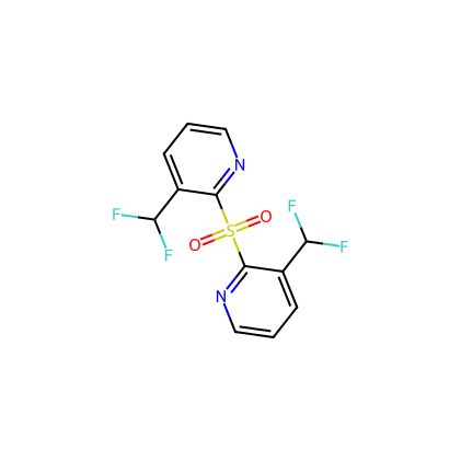 O=S(=O)(c1ncccc1C(F)F)c1ncccc1C(F)F